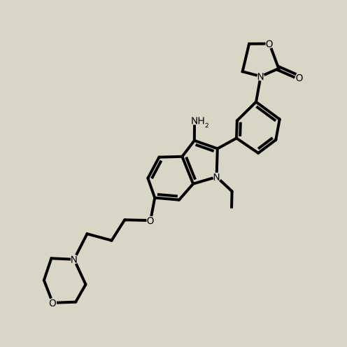 CCn1c(-c2cccc(N3CCOC3=O)c2)c(N)c2ccc(OCCCN3CCOCC3)cc21